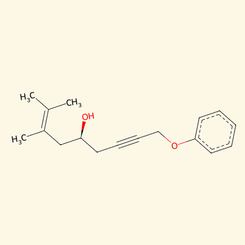 CC(C)=C(C)C[C@@H](O)CC#CCOc1ccccc1